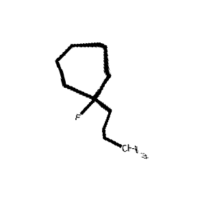 CCCC1(F)CCCCC1